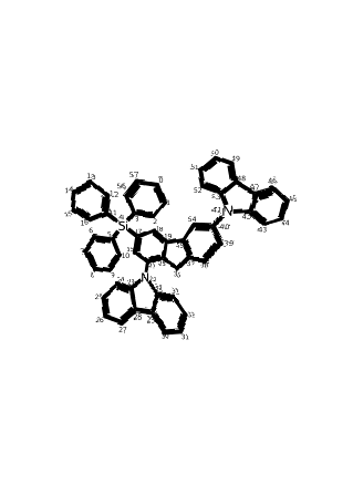 c1ccc([Si](c2ccccc2)(c2ccccc2)c2cc3c(c(-n4c5ccccc5c5ccccc54)c2)Cc2ccc(-n4c5ccccc5c5ccccc54)cc2-3)cc1